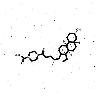 COC(=O)N1CCN(C(=O)CC[C@@H](C)[C@H]2CC[C@H]3[C@@H]4CC[C@H]5C[C@@H](O)CC[C@]5(C)[C@H]4CC[C@]23C)CC1